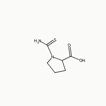 NC(=S)N1CCCC1C(=O)O